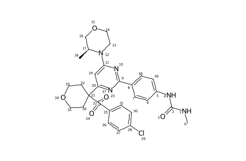 CNC(=O)Nc1ccc(-c2nc(N3CCOC[C@@H]3C)cc(C3(S(=O)(=O)c4ccc(Cl)cc4)CCOCC3)n2)cc1